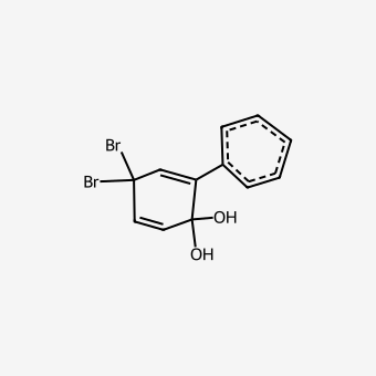 OC1(O)C=CC(Br)(Br)C=C1c1ccccc1